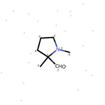 CN1CCCC1(C)[C]=O